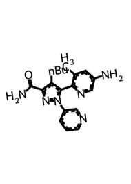 CCCCc1c(C(N)=O)nn(-c2cccnc2)c1-c1ncc(N)cc1C